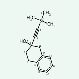 C[Si](C)(C)C#CC1(O)CCc2ccccc2C1